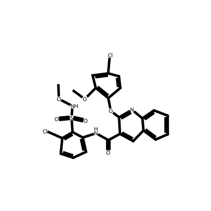 CONS(=O)(=O)c1c(Cl)cccc1NC(=O)c1cc2ccccc2nc1Oc1ccc(Cl)cc1OC